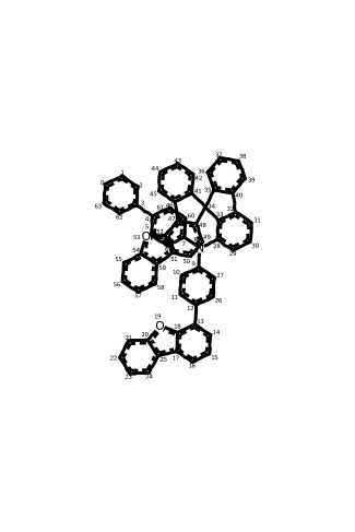 c1ccc(-c2ccc(N(c3ccc(-c4cccc5c4oc4ccccc45)cc3)c3cccc4c3C3(c5ccccc5-4)c4ccccc4-c4c3ccc3c4oc4ccccc43)cc2)cc1